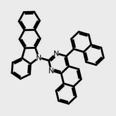 c1ccc2cc3c(cc2c1)c1ccccc1n3-c1nc(-c2cccc3ccccc23)c2ccc3ccccc3c2n1